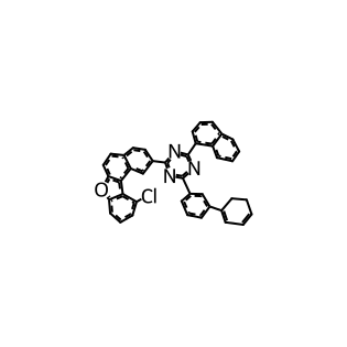 Clc1cccc2oc3ccc4ccc(-c5nc(-c6cccc(C7=CC=CCC7)c6)nc(-c6cccc7ccccc67)n5)cc4c3c12